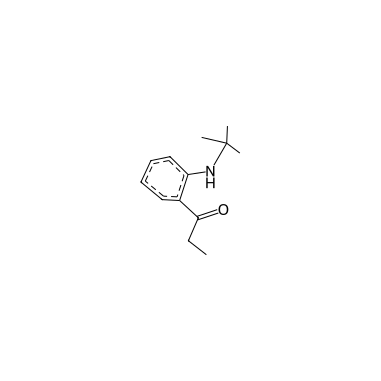 CCC(=O)c1ccccc1NC(C)(C)C